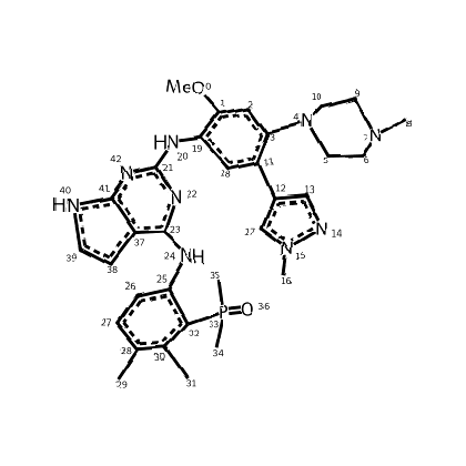 COc1cc(N2CCN(C)CC2)c(-c2cnn(C)c2)cc1Nc1nc(Nc2ccc(C)c(C)c2P(C)(C)=O)c2cc[nH]c2n1